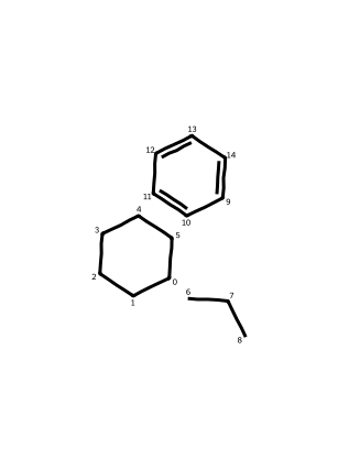 C1CCCCC1.CCC.c1ccccc1